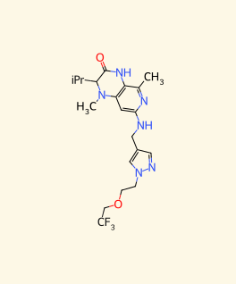 Cc1nc(NCc2cnn(CCOCC(F)(F)F)c2)cc2c1NC(=O)C(C(C)C)N2C